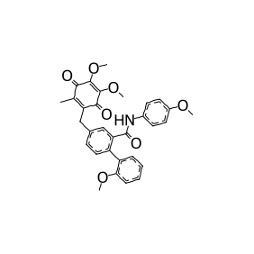 COC1=C(OC)C(=O)C(Cc2ccc(-c3ccccc3OC)c(C(=O)Nc3ccc(OC)cc3)c2)=C(C)C1=O